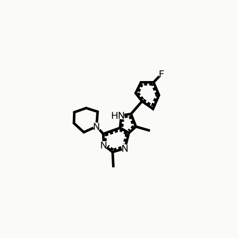 Cc1nc(N2CCCCC2)c2[nH]c(-c3ccc(F)cc3)c(C)c2n1